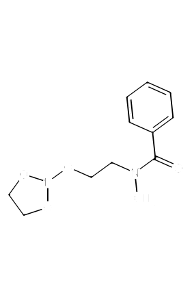 CN(CCOP1OCCO1)C(=O)c1ccccc1